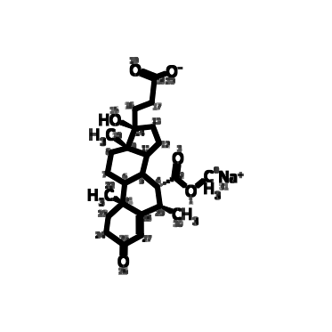 COC(=O)[C@H]1C2C(CC[C@@]3(C)C2CC[C@@]3(O)CCC(=O)[O-])[C@@]2(C)CCC(=O)C=C2[C@@H]1C.[Na+]